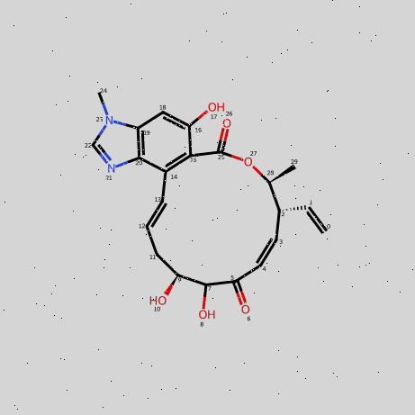 C=C[C@@H]1/C=C\C(=O)C(O)[C@@H](O)C/C=C/c2c(c(O)cc3c2ncn3C)C(=O)O[C@H]1C